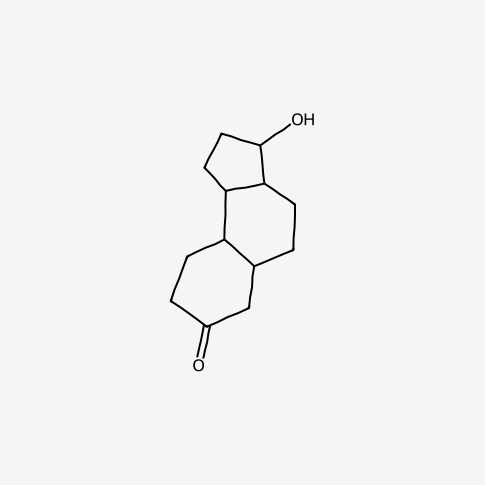 O=C1CCC2C(CCC3C(O)CCC32)C1